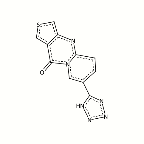 O=c1c2cscc2nc2ccc(-c3nnn[nH]3)cn12